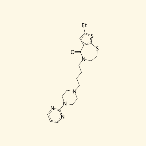 CCc1cc2c(s1)SCCN(CCCCN1CCN(c3ncccn3)CC1)C2=O